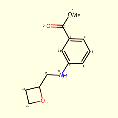 COC(=O)c1cccc(NCC2CCO2)c1